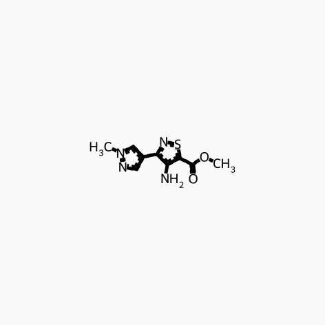 COC(=O)c1snc(-c2cnn(C)c2)c1N